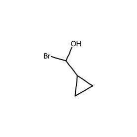 OC(Br)C1CC1